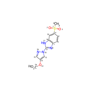 CS(=O)(=O)c1ccc2nc(-n3cc(OC(=O)O)cn3)[nH]c2c1